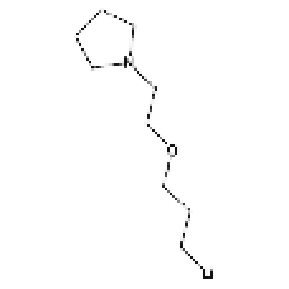 [Li][CH2]CCOCCN1CCCC1